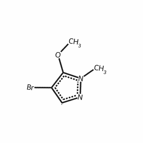 COc1c(Br)[c]nn1C